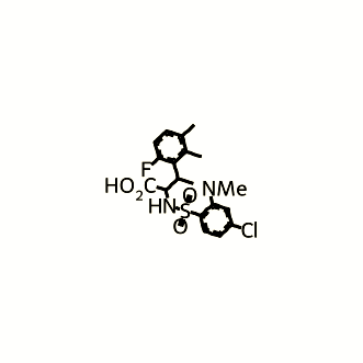 CNc1cc(Cl)ccc1S(=O)(=O)NC(C(=O)O)C(C)c1c(F)ccc(C)c1C